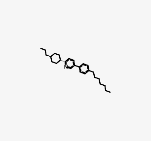 CCCCCCCc1ccc(-c2ccc([C@H]3CC[C@H](CCC)CC3)nc2)cc1